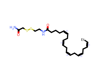 CC/C=C\C/C=C\C/C=C\C/C=C\C/C=C\CCCC(=O)NCCSSCC(N)=O